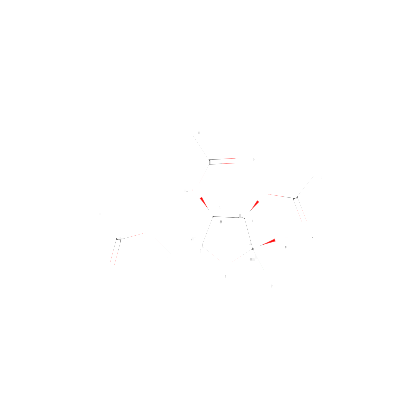 CC(=O)OC[C@H]1O[C@@](O)(Cl)[C@H](OC(C)=O)[C@@H]1OC(C)=O